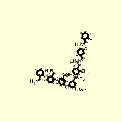 COc1cccc(CN)c1.Cc1cccc(CN)c1.Cc1ccccc1CN.Cc1ccccc1CN.NCc1cccc(F)c1.NCc1ccccc1Cl.NCc1ccccc1F